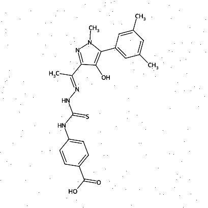 C/C(=N\NC(=S)Nc1ccc(C(=O)O)cc1)c1nn(C)c(-c2cc(C)cc(C)c2)c1O